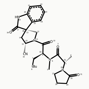 C[C@@H](C(=O)N(C)[C@@H](CC(C)(C)C)C(=O)N1C[C@]2(C[C@H]1C#N)C(=O)Nc1ccccc12)N1CCCC1=O